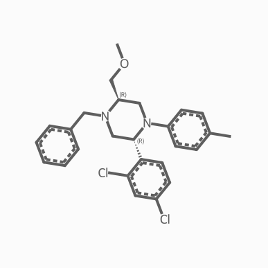 COC[C@H]1CN(c2ccc(C)cc2)[C@H](c2ccc(Cl)cc2Cl)CN1Cc1ccccc1